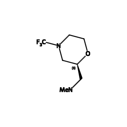 CNC[C@H]1CN(C(F)(F)F)CCO1